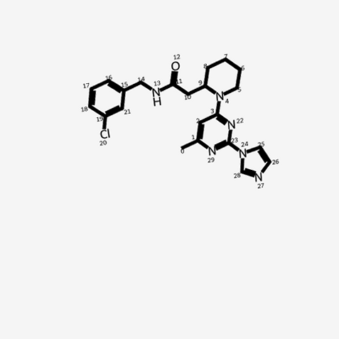 Cc1cc(N2CCCCC2CC(=O)NCc2cccc(Cl)c2)nc(-n2ccnc2)n1